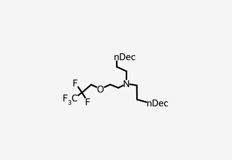 CCCCCCCCCCCCN(CCCCCCCCCCCC)CCOCC(F)(F)C(F)(F)F